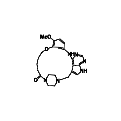 COc1ccc2cc1OCCCCC(=O)N1CCN(CC1)Cc1c[nH]c3ncnc(c13)N2